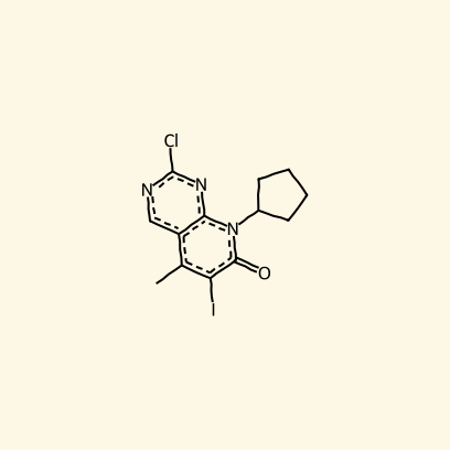 Cc1c(I)c(=O)n(C2CCCC2)c2nc(Cl)ncc12